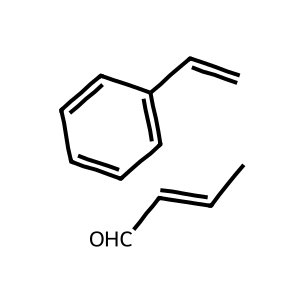 C/C=C/C=O.C=Cc1ccccc1